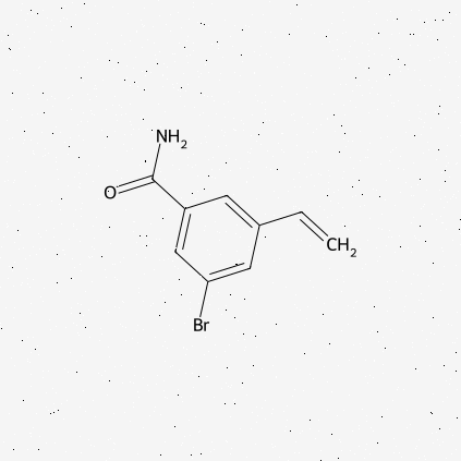 C=Cc1cc(Br)cc(C(N)=O)c1